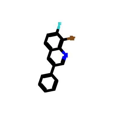 Fc1ccc2cc(-c3ccccc3)cnc2c1Br